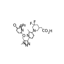 CCCn1nc(OCc2c(-c3ccc(N4CC(CC(=O)O)CC(F)(F)C4)c(C)n3)nnn2C)ccc1=O